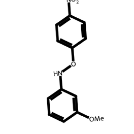 COc1cccc(NOc2ccc([N+](=O)[O-])cc2)c1